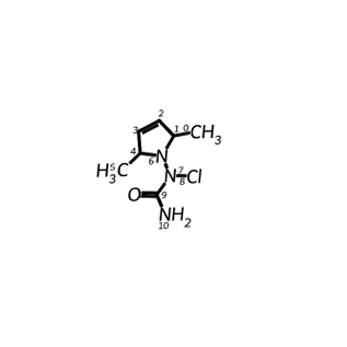 CC1C=CC(C)N1N(Cl)C(N)=O